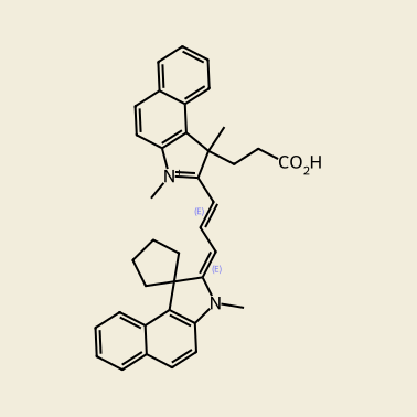 CN1/C(=C/C=C/C2=[N+](C)c3ccc4ccccc4c3C2(C)CCC(=O)O)C2(CCCC2)c2c1ccc1ccccc21